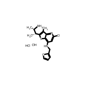 Cc1c([C@H](C)[C@H](C)N)sc2c(NCc3ccco3)cc(Cl)nc12.Cl.Cl